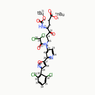 CCCCOC(=O)CCC(NC(=O)OC(C)(C)C)C(=O)CCN(C(=O)C(Cl)Cl)c1ccnc(-c2cc(-c3c(Cl)cccc3Cl)no2)c1